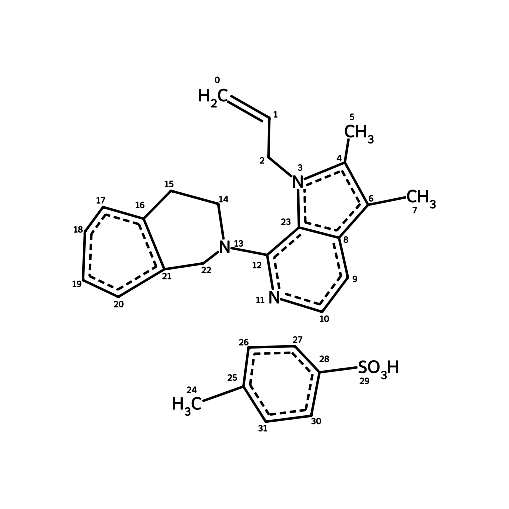 C=CCn1c(C)c(C)c2ccnc(N3CCc4ccccc4C3)c21.Cc1ccc(S(=O)(=O)O)cc1